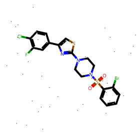 O=S(=O)(c1ccccc1Br)N1CCN(c2nc(-c3ccc(Cl)c(F)c3)cs2)CC1